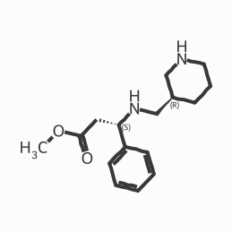 COC(=O)C[C@H](NC[C@@H]1CCCNC1)c1ccccc1